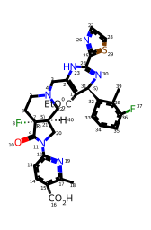 CCOC(=O)C1=C(CN2CC[C@]3(F)C(=O)N(c4ccc(C(=O)O)c(C)n4)C[C@@H]3C2)NC(c2nccs2)=N[C@H]1c1cccc(F)c1C